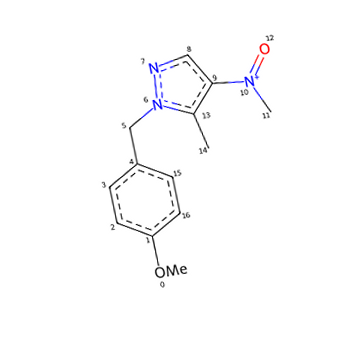 COc1ccc(Cn2ncc([N+](C)=O)c2C)cc1